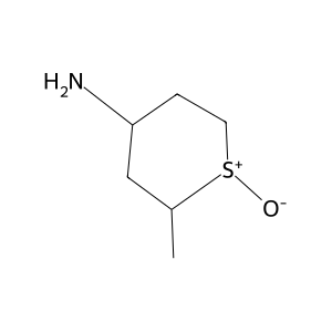 CC1CC(N)CC[S+]1[O-]